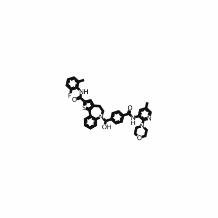 Cc1cnc(N2CCOCC2)c(NC(=O)c2ccc(C(O)N3CCc4cc(C(=O)Nc5c(C)cccc5F)sc4-c4ccccc43)cc2)c1